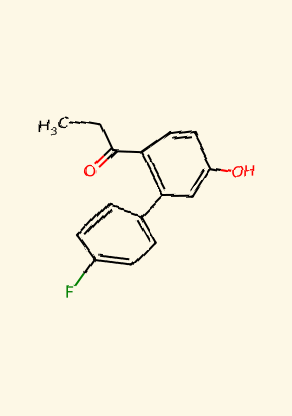 CCC(=O)c1ccc(O)cc1-c1ccc(F)cc1